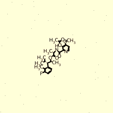 COc1ccnc(C(=O)N[C@@H](C)C(=O)O[C@@H](C)[C@H](c2cccc(F)c2C)C(C)C)c1OC(C)=O